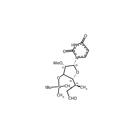 CO[C@H]1C(O[Si](C)(C)C(C)(C)C)[C@@H]([C@@H](C)CC=O)O[C@H]1n1ccc(=O)[nH]c1=O